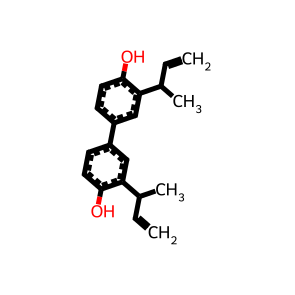 C=CC(C)c1cc(-c2ccc(O)c(C(C)C=C)c2)ccc1O